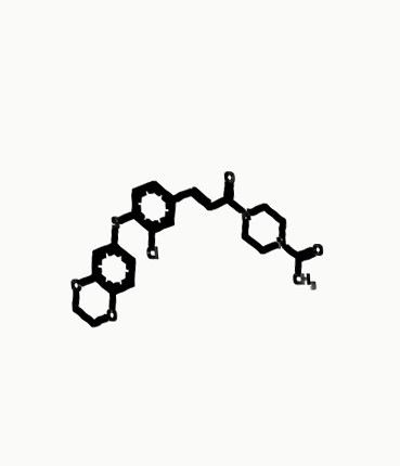 CC(=O)N1CCN(C(=O)C=Cc2ccc(Sc3ccc4c(c3)OCCO4)c(Cl)c2)CC1